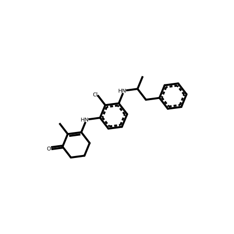 CC1=C(Nc2cccc(NC(C)Cc3ccccc3)c2Cl)CCCC1=O